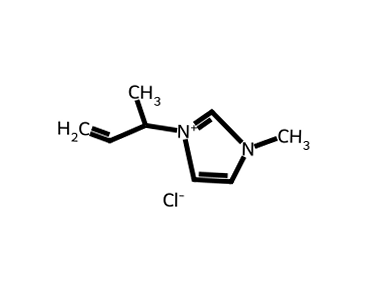 C=CC(C)[n+]1ccn(C)c1.[Cl-]